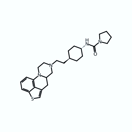 O=C(N[C@H]1CC[C@H](CCN2CCN3c4cccc5scc(c45)CC3C2)CC1)N1CCCC1